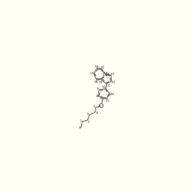 CCCCCCOc1ccc(-c2ccn3ccccc23)cc1